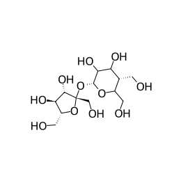 OCC1O[C@H](O[C@]2(CO)O[C@H](CO)[C@@H](O)[C@@H]2O)C(O)C(O)[C@@H]1CO